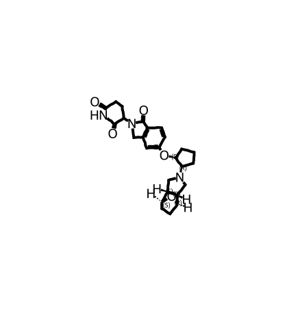 O=C1CCC(N2Cc3cc(O[C@H]4CCC[C@H]4N4C[C@@H]5[C@H](C4)[C@H]4CC[C@@H]5O4)ccc3C2=O)C(=O)N1